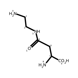 NCCNC(=O)CC(N)C(=O)O